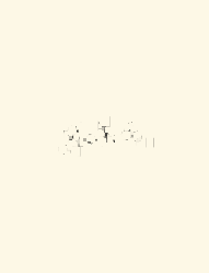 COc1cc2c(cc1OC)C(CC#N)N(C(=S)Oc1ccc(C(NC(=O)c3ccccc3Cl)C(=O)O)cc1)CC2